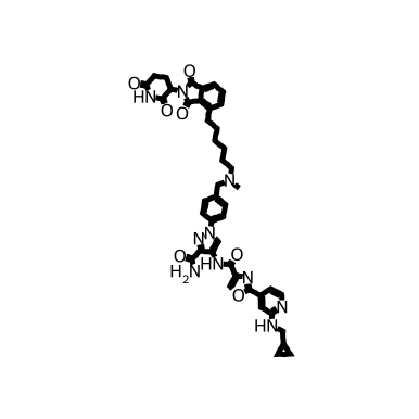 CN(CCCCCCc1cccc2c1C(=O)N(C1CCC(=O)NC1=O)C2=O)Cc1ccc(-n2cc(NC(=O)c3coc(-c4ccnc(NCC5CC5)c4)n3)c(C(N)=O)n2)cc1